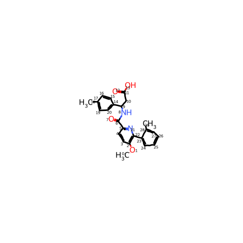 COc1ccc(C(=O)NC(CC(=O)O)c2ccc(C)cc2)nc1-c1ccccc1C